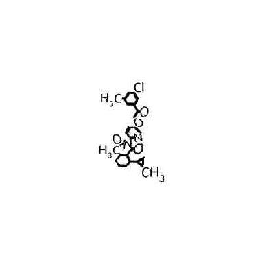 Cc1cc(Cl)cc(C(=O)COc2ccc(N(C=O)C(=O)C3C(C)CC=CC3C3CC3C)nc2)c1